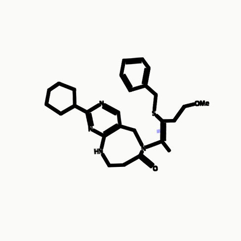 COCC/C(SCc1ccccc1)=C(\C)N1Cc2cnc(C3CCCCC3)nc2NCCC1=O